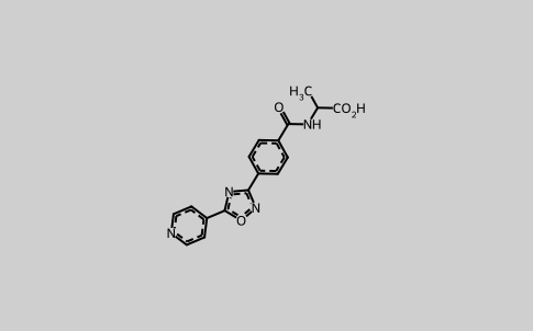 CC(NC(=O)c1ccc(-c2noc(-c3ccncc3)n2)cc1)C(=O)O